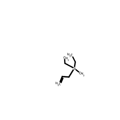 C=CC[Si](C)(CC)CC